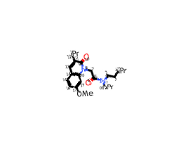 CCCN(CCC(C)C)C(=O)Cn1c(=O)c(C(C)C)cc2ccc(OC)cc21